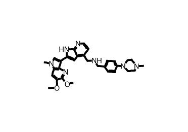 COc1cc2c(nc1OC)c(-c1cc3c(CNCc4ccc(N5CCN(C)CC5)cc4)ccnc3[nH]1)cn2C